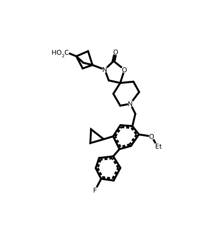 CCOc1cc(-c2ccc(F)cc2)c(C2CC2)cc1CN1CCC2(CC1)CN(C13CC(C(=O)O)(C1)C3)C(=O)O2